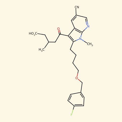 CC(CC(=O)O)CC(=O)c1c(CCCCOCc2ccc(F)cc2)n(C)c2ncc(C#N)cc12